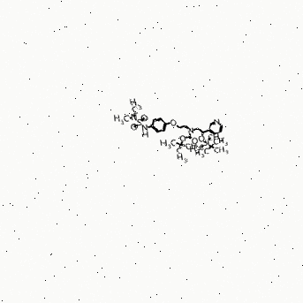 CN(C)S(=O)(=O)Nc1ccc(OCCN(CC(O[Si](C)(C)C(C)(C)C)c2cccnc2)C(=O)OC(C)(C)C)cc1